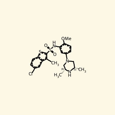 COc1ccc(N2C[C@@H](C)N[C@@H](C)C2)cc1NS(=O)(=O)c1sc2ccc(Cl)cc2c1C